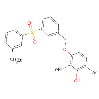 CCCc1c(OCc2cccc(S(=O)(=O)c3cccc(C(=O)OCC)c3)c2)ccc(C(C)=O)c1O